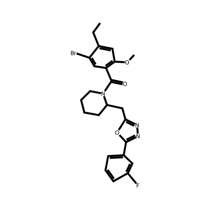 CCc1cc(OC)c(C(=O)N2CCCCC2Cc2nnc(-c3cccc(F)c3)o2)cc1Br